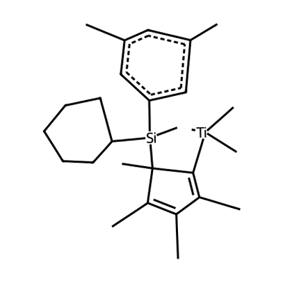 CC1=C(C)C(C)([Si](C)(c2cc(C)cc(C)c2)C2CCCCC2)[C]([Ti]([CH3])([CH3])[CH3])=C1C